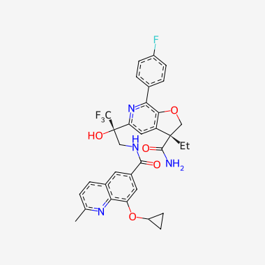 CC[C@]1(C(N)=O)COc2c1cc([C@@](O)(CNC(=O)c1cc(OC3CC3)c3nc(C)ccc3c1)C(F)(F)F)nc2-c1ccc(F)cc1